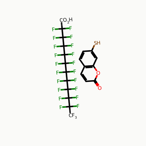 O=C(O)C(F)(F)C(F)(F)C(F)(F)C(F)(F)C(F)(F)C(F)(F)C(F)(F)C(F)(F)C(F)(F)C(F)(F)C(F)(F)F.O=c1ccc2ccc(S)cc2o1